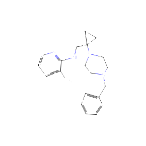 N#Cc1cccnc1NCC1(N2CCN(Cc3ccccc3)CC2)CC1